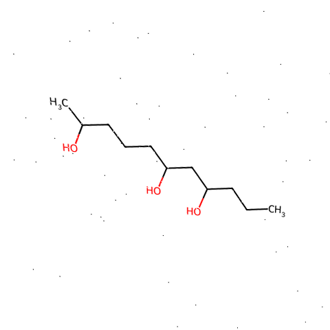 CCCC(O)CC(O)CCCC(C)O